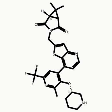 Cc1nc(C(F)(F)F)cc(-c2ccnc3cc(CN4C(=O)C5[C@H](C4=O)C5(C)C)sc23)c1O[C@H]1CCCNC1